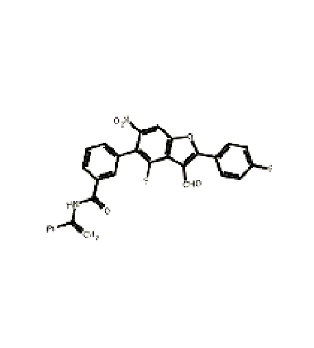 C=C(NC(=O)c1cccc(-c2c([N+](=O)[O-])cc3oc(-c4ccc(F)cc4)c(C=O)c3c2F)c1)C(C)C